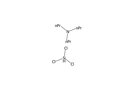 CCCN(CCC)CCC.Cl[SiH](Cl)Cl